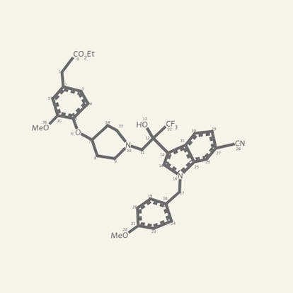 CCOC(=O)Cc1ccc(OC2CCN(CC(O)(c3cn(Cc4ccc(OC)cc4)c4cc(C#N)ccc34)C(F)(F)F)CC2)c(OC)c1